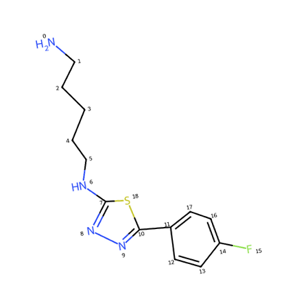 NCCCCCNc1nnc(-c2ccc(F)cc2)s1